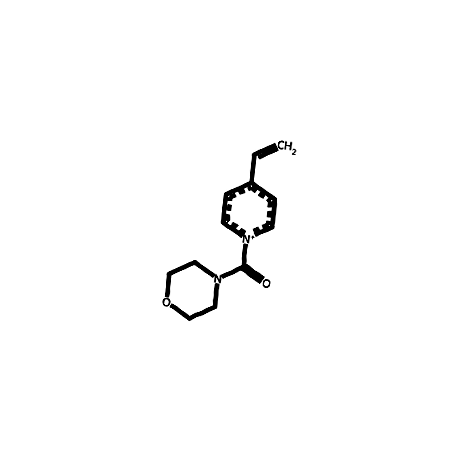 C=Cc1cc[n+](C(=O)N2CCOCC2)cc1